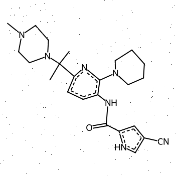 CN1CCN(C(C)(C)c2ccc(NC(=O)c3cc(C#N)c[nH]3)c(N3CCCCC3)n2)CC1